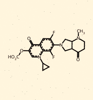 CN1CCC(=O)C2CN(c3c(F)cc4c(=O)c(OC(=O)O)cn(C5CC5)c4c3F)CC21